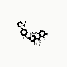 COc1ccc(F)c(F)c1C(=O)c1cnc(NC2CCC(N3CCCS3(=O)=O)CC2)nc1N